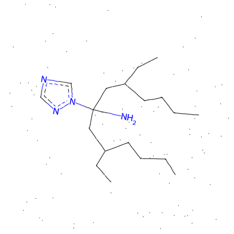 CCCCC(CC)CC(N)(CC(CC)CCCC)n1cncn1